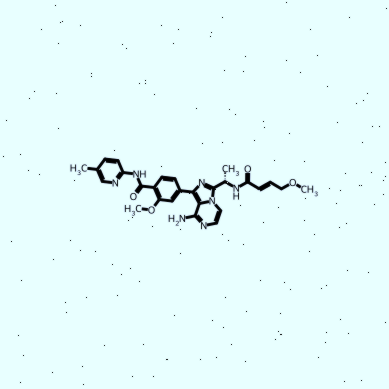 COC/C=C/C(=O)N[C@@H](C)c1nc(-c2ccc(C(=O)Nc3ccc(C)cn3)c(OC)c2)c2c(N)nccn12